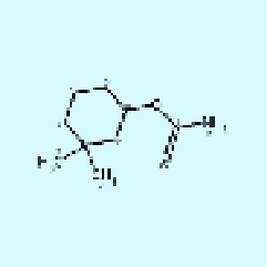 CC1(C)CCCC(OC(N)=O)C1